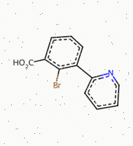 O=C(O)c1cccc(-c2ccccn2)c1Br